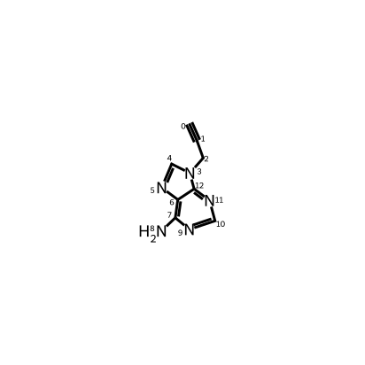 C#CCn1cnc2c(N)ncnc21